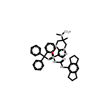 CN(C(=O)O)C1(C)COc2c(S(=O)(=NC(c3ccccc3)(c3ccccc3)c3ccccc3)NC(=O)Nc3c4c(cc5c3CCC5)CCC4)cnn2C1